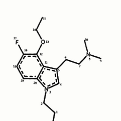 CCCn1cc(CCN(C)C)c2c(OCC)c(F)ccc21